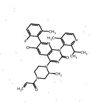 C=CC(=O)N1CCN(c2nc(=O)n(-c3c(C)ccnc3C(C)C)c3nc(-c4c(C)cccc4F)c(Cl)cc23)[C@@H](C)C1